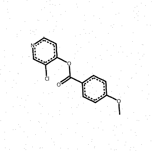 COc1ccc(C(=O)Oc2c[c]ncc2Cl)cc1